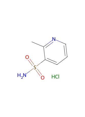 Cc1ncccc1S(N)(=O)=O.Cl